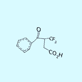 O=C(O)CC(C(=O)c1ccccc1)C(F)(F)F